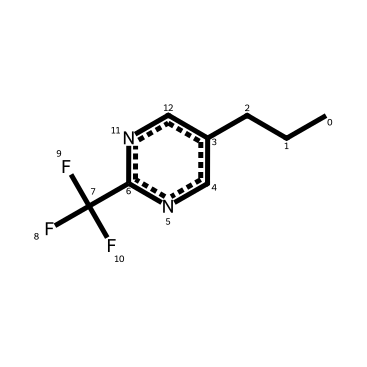 CCCc1cnc(C(F)(F)F)nc1